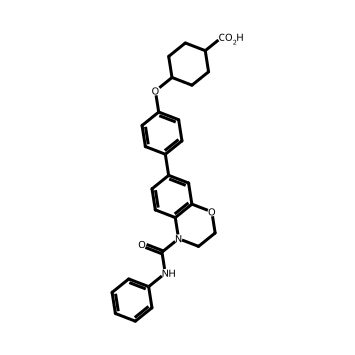 O=C(O)C1CCC(Oc2ccc(-c3ccc4c(c3)OCCN4C(=O)Nc3ccccc3)cc2)CC1